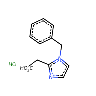 Cl.O=C(O)Cc1nccn1Cc1ccccc1